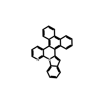 c1ccc2c(c1)cc1c3c4ccccc4c4ccccc4c3c3cccnc3n21